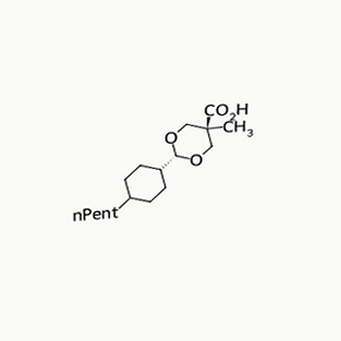 CCCCCC1CCC([C@H]2OC[C@](C)(C(=O)O)CO2)CC1